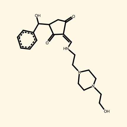 O=C1CC(C(O)c2ccccc2)C(=O)/C1=C\NCCN1CCN(CCO)CC1